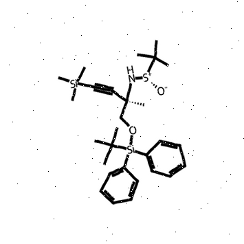 CC(C)(C)[S@+]([O-])N[C@](C)(C#C[Si](C)(C)C)CO[Si](c1ccccc1)(c1ccccc1)C(C)(C)C